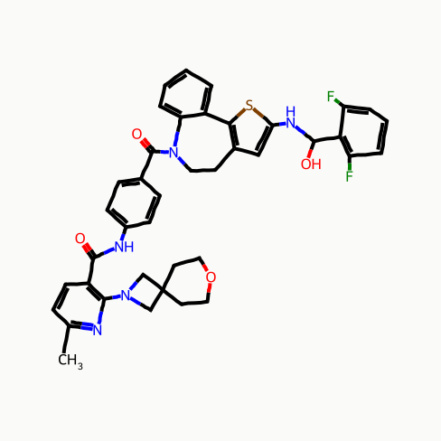 Cc1ccc(C(=O)Nc2ccc(C(=O)N3CCc4cc(NC(O)c5c(F)cccc5F)sc4-c4ccccc43)cc2)c(N2CC3(CCOCC3)C2)n1